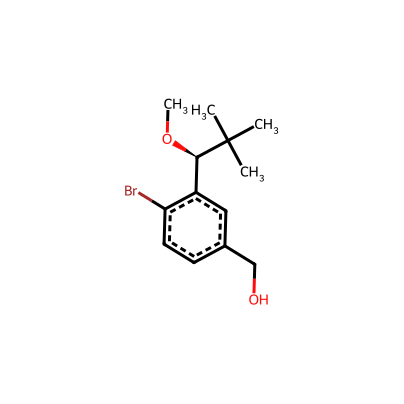 CO[C@H](c1cc(CO)ccc1Br)C(C)(C)C